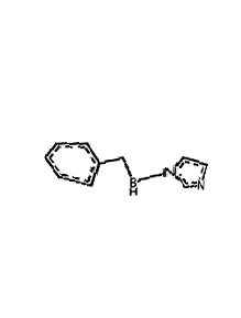 B(Cc1ccccc1)n1ccnc1